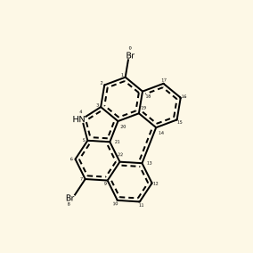 Brc1cc2[nH]c3cc(Br)c4cccc5c6cccc1c6c2c3c45